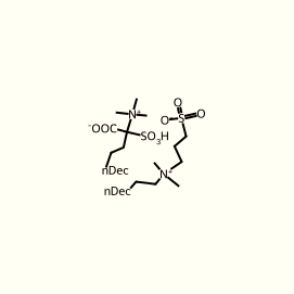 CCCCCCCCCCCCC(C(=O)[O-])([N+](C)(C)C)S(=O)(=O)O.CCCCCCCCCCCC[N+](C)(C)CCCS(=O)(=O)[O-]